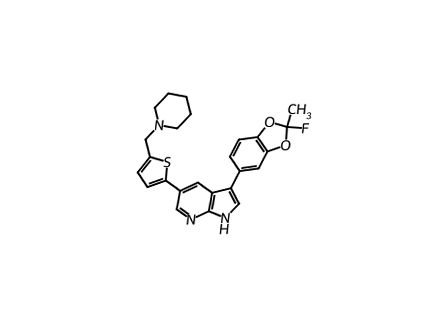 CC1(F)Oc2ccc(-c3c[nH]c4ncc(-c5ccc(CN6CCCCC6)s5)cc34)cc2O1